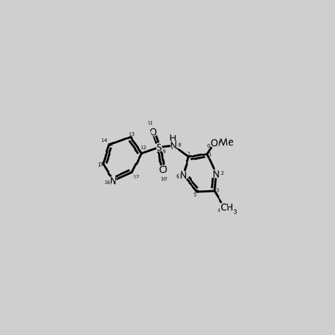 COc1nc(C)cnc1NS(=O)(=O)c1cccnc1